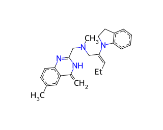 C=C1NC(CN(C)C/C(=C\CC)N2CCc3ccccc32)=Nc2ccc(C)cc21